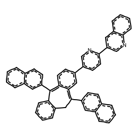 c1ccc2c(c1)CC(c1ccc3ccccc3c1)=c1cc(-c3ccc(-c4cnc5ccccc5c4)nc3)ccc1=C2c1ccc2ccccc2c1